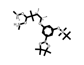 C[SiH2]OC(O[SiH2]C)C(C)(C)[C@H](C)[C@H](C)Oc1cc(O[Si](C)(C)C(C)(C)C)cc(B2OC(C)(C)C(C)(C)O2)c1